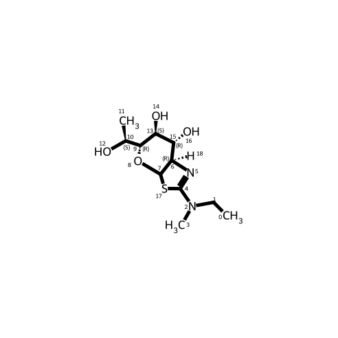 CCN(C)C1=N[C@H]2C(O[C@H]([C@H](C)O)[C@@H](O)[C@@H]2O)S1